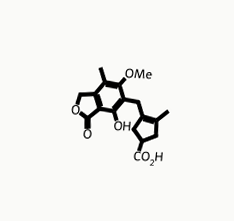 COc1c(C)c2c(c(O)c1CC1=C(C)CC(C(=O)O)C1)C(=O)OC2